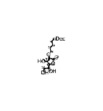 CCCCCCCCCCCCCCOC1=C(O)[C@@H]([C@@H](O)CO)OC1=O